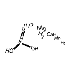 O.O=[PH](O)O.[CaH2].[Fe].[MgH2].[Mn]